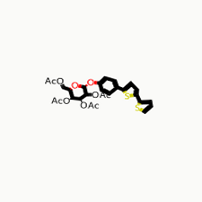 CC(=O)OCC1O[C@@H](Oc2ccc(-c3ccc(-c4cccs4)s3)cc2)C(OC(C)=O)[C@H](OC(C)=O)[C@@H]1OC(C)=O